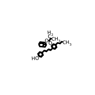 C=C(C)C(=O)OC1C2CC3CC(C2)CC1C3.CCCCc1ccc(C=CC=Cc2ccc(O)cc2)cc1